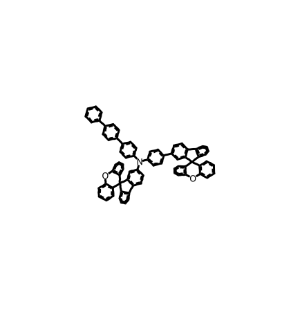 c1ccc(-c2ccc(-c3ccc(N(c4ccc(-c5ccc6c(c5)C5(c7ccccc7Oc7ccccc75)c5ccccc5-6)cc4)c4ccc5c(c4)C4(c6ccccc6Oc6ccccc64)c4ccccc4-5)cc3)cc2)cc1